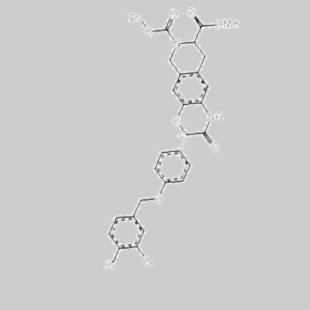 COC(=O)C1Cc2cc3c(cc2CN1C(=O)OC(C)C)O[C@@H](c1ccc(OCc2ccc(Cl)c(Cl)c2)cc1)C(=O)N3